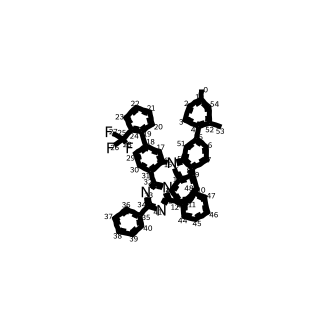 Cc1ccc(-c2ccc3c4ccccc4n(-c4cc(-c5ccccc5C(F)(F)F)ccc4-c4nc(-c5ccccc5)nc(-c5ccccc5)n4)c3c2)c(C)c1